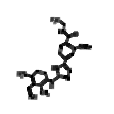 COc1cc(-c2nnc(Nc3ccc(N)c(C=N)c3C)[nH]2)ccc1C(=O)NCC(F)(F)F